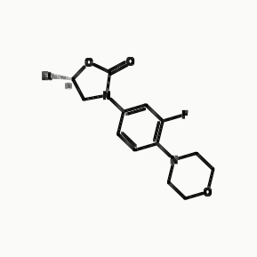 CC[C@H]1CN(c2ccc(N3CCOCC3)c(F)c2)C(=O)O1